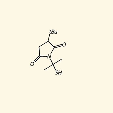 CC(C)(C)C1CC(=O)N(C(C)(C)S)C1=O